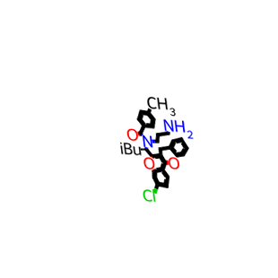 CCC(C)[C@H](c1oc2cc(Cl)ccc2c(=O)c1Cc1ccccc1)N(CCCN)C(=O)c1ccc(C)cc1